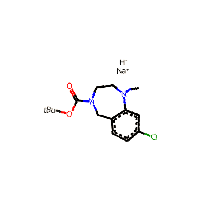 CN1CCN(C(=O)OC(C)(C)C)Cc2ccc(Cl)cc21.[H-].[Na+]